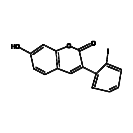 O=c1oc2cc(O)ccc2cc1-c1ccccc1I